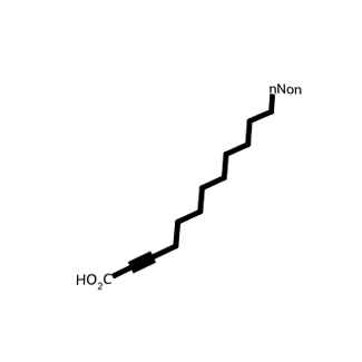 CCCCCCCCCCCCCCCCCCC#CC(=O)O